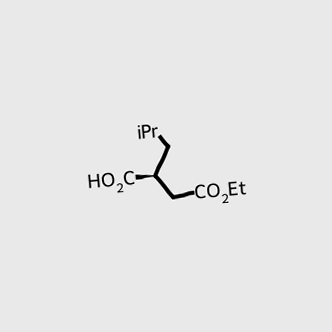 CCOC(=O)C[C@H](CC(C)C)C(=O)O